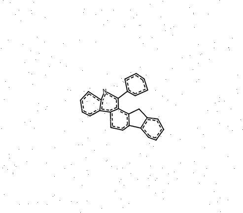 c1ccc(-c2nc3ccccc3c3ccc4c(c23)Cc2ccccc2-4)cc1